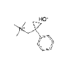 C[N+](C)(C)CC1(c2ccccc2)CC1.[OH-]